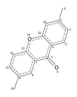 Cc1ccc2c(=O)c3cc(C)ccc3oc2c1